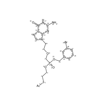 CC(=O)SCCOP(=O)(COCCn1cnc2c(=O)[nH]c(N)nc21)OCc1cccc(Br)c1